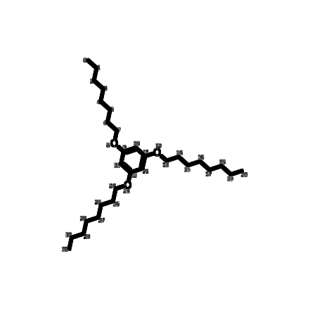 CCCCCCCCOc1cc(OCCCCCCCC)cc(OCCCCCCCC)c1